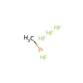 C[P].F.F.F.F